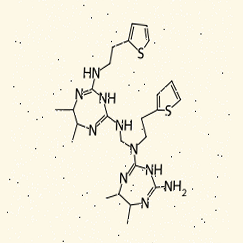 CC1N=C(N)NC(N(CCc2cccs2)CNC2=NC(C)C(C)N=C(NCCc3cccs3)N2)=NC1C